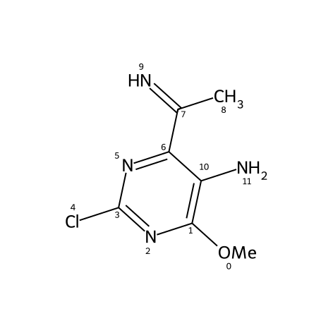 COc1nc(Cl)nc(C(C)=N)c1N